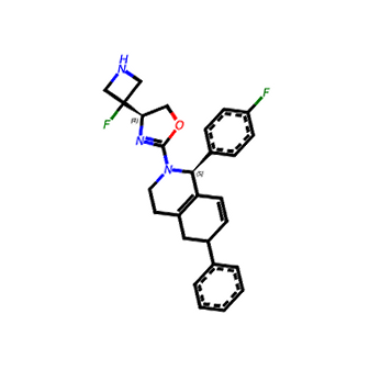 Fc1ccc([C@H]2C3=C(CCN2C2=N[C@@H](C4(F)CNC4)CO2)CC(c2ccccc2)C=C3)cc1